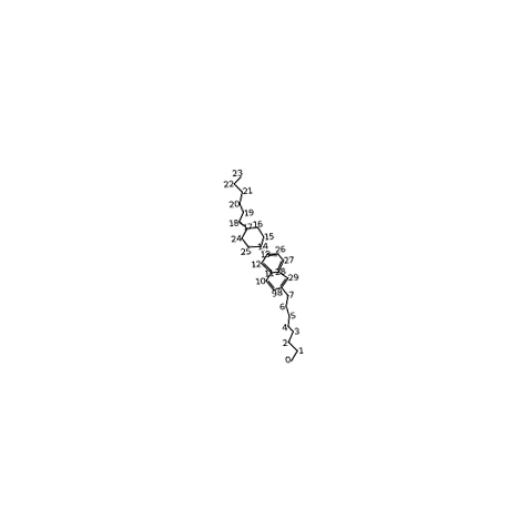 CCCCCCCCc1ccc2cc([C@H]3CC[C@H](CCCCCC)CC3)ccc2c1